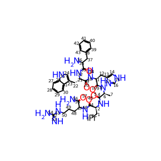 CC(C)C[C@H](NC(=O)[C@H](C)NC(=O)[C@H](Cc1c[nH]cn1)NC(=O)[C@H](Cc1c[nH]c2ccccc12)NC(=O)[C@@H](N)Cc1ccccc1)C(=O)N[C@@H](CCCNC(=N)N)C(N)=O